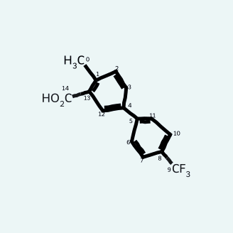 Cc1ccc(-c2ccc(C(F)(F)F)cc2)cc1C(=O)O